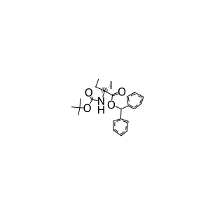 CC[C@](I)(NC(=O)OC(C)(C)C)C(=O)OC(c1ccccc1)c1ccccc1